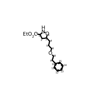 CCOC(=O)C1CC(CCCOCCc2ccccc2)ON1